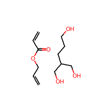 C=CCOC(=O)C=C.OCCCC(CO)CO